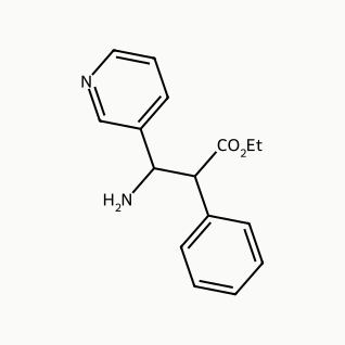 CCOC(=O)C(c1ccccc1)C(N)c1cccnc1